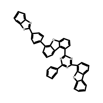 c1ccc(-c2nc(-c3cccc4c3sc3ccccc34)nc(-c3cccc4oc5c(-c6ccc(-c7nc8ccccc8s7)cc6)cccc5c34)n2)cc1